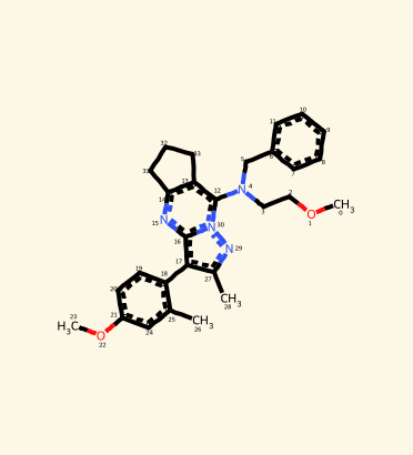 COCCN(Cc1ccccc1)c1c2c(nc3c(-c4ccc(OC)cc4C)c(C)nn13)CCC2